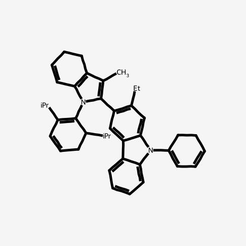 CCc1cc2c(cc1-c1c(C)c3c(n1C1=C(C(C)C)C=CCC1C(C)C)C=CCC3)c1ccccc1n2C1=CC=CCC1